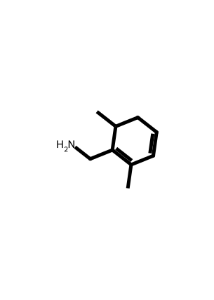 CC1=C(CN)C(C)CC=C1